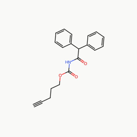 C#CCCCOC(=O)NC(=O)C(c1ccccc1)c1ccccc1